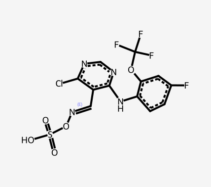 O=S(=O)(O)O/N=C/c1c(Cl)ncnc1Nc1ccc(F)cc1OC(F)(F)F